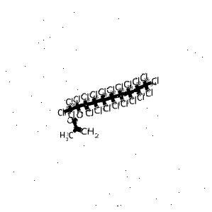 C=C(C)C(=O)OC(Cl)(C(Cl)(Cl)Cl)C(Cl)(Cl)C(Cl)(Cl)C(Cl)(Cl)C(Cl)(Cl)C(Cl)(Cl)C(Cl)(Cl)C(Cl)(Cl)C(Cl)(Cl)Cl